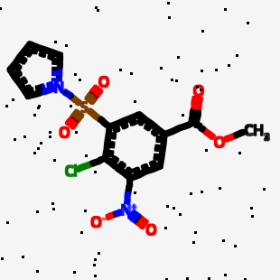 COC(=O)c1cc([N+](=O)[O-])c(Cl)c(S(=O)(=O)n2cccc2)c1